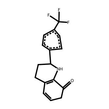 O=C1CC=CC2=C1NC(c1ccc(C(F)(F)F)cc1)CC2